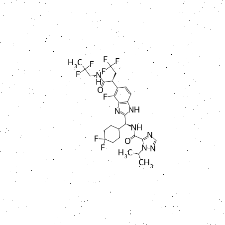 CC(C)n1ncnc1C(=O)N[C@H](c1nc2c(F)c([C@H](CC(F)(F)F)C(=O)NCC(C)(F)F)ccc2[nH]1)C1CCC(F)(F)CC1